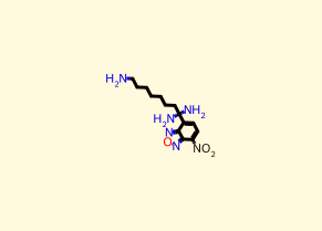 NCCCCCCCC(N)(N)c1ccc([N+](=O)[O-])c2nonc12